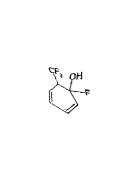 OC1(F)C=CC=CC1C(F)(F)F